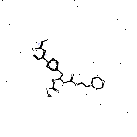 C=C/C(=C\C(Cl)=C/C)c1ccc(CC(CC(=O)OCCN2CCOCC2)NC(=O)OC(C)(C)C)cc1